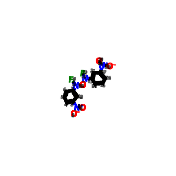 O=[N+]([O-])c1cccc(N(F)ON(F)c2cccc([N+](=O)[O-])c2)c1